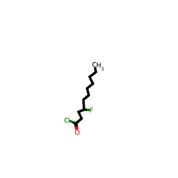 CCCCCCCC(F)CCC(=O)Cl